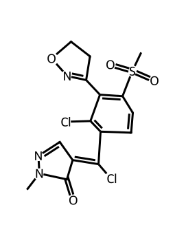 CN1N=CC(=C(Cl)c2ccc(S(C)(=O)=O)c(C3=NOCC3)c2Cl)C1=O